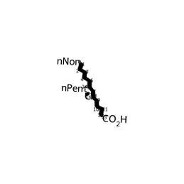 CCCCCCCCCC=CC=CC=CC=CC=CC=CC(=O)O.CCCCCCl